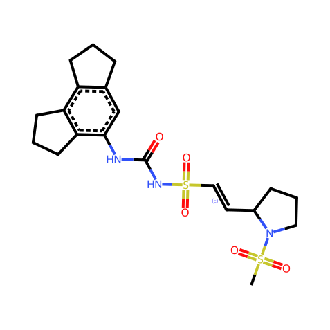 CS(=O)(=O)N1CCCC1/C=C/S(=O)(=O)NC(=O)Nc1cc2c(c3c1CCC3)CCC2